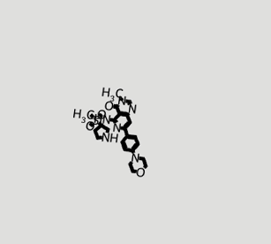 Cn1cnc2cc(-c3ccc(N4CCOCC4)cc3)nc(N[C@@]3(S(C)(=O)=O)CCNC3)c2c1=O